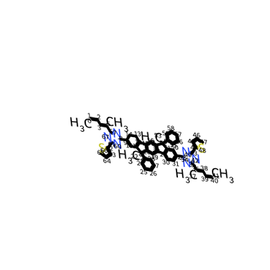 C/C=C\C=C(/C)c1nc(C2=CC3=C(CC2)c2cc4c(cc2C3(C)c2ccccc2)-c2ccc(-c3nc(/C(C)=C/C=C\C)nc(-c5cccs5)n3)cc2C4(C)c2ccccc2)nc(-c2cccs2)n1